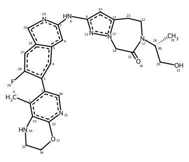 Cc1c(-c2cc3cc(Nc4cc5n(n4)CC(=O)N([C@H](C)CO)CC5)ncc3cc2F)cnc2c1NCCO2